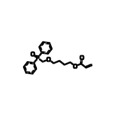 C=CC(=O)OCCCCOCP(=O)(c1ccccc1)c1ccccc1